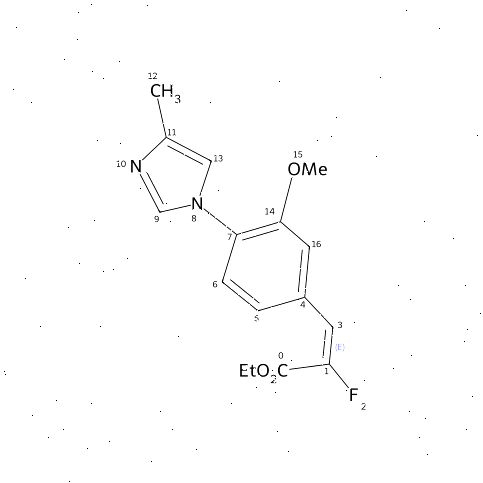 CCOC(=O)/C(F)=C\c1ccc(-n2cnc(C)c2)c(OC)c1